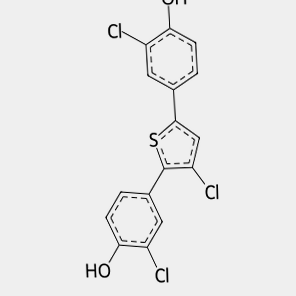 Oc1ccc(-c2cc(Cl)c(-c3ccc(O)c(Cl)c3)s2)cc1Cl